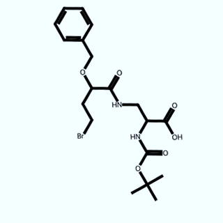 CC(C)(C)OC(=O)NC(CNC(=O)C(CCBr)OCc1ccccc1)C(=O)O